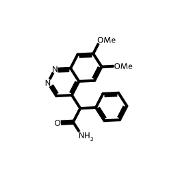 COc1cc2nncc(C(C(N)=O)c3ccccc3)c2cc1OC